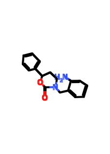 Nc1ccccc1CN1CCC(c2ccccc2)OC1=O